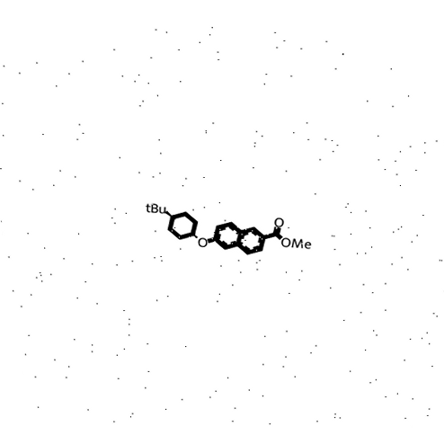 COC(=O)c1ccc2cc(O[C@H]3CC[C@H](C(C)(C)C)CC3)ccc2c1